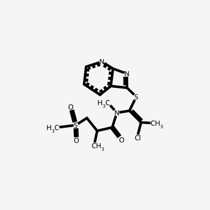 C/C(Cl)=C(\SC1=Nc2ncccc21)N(C)C(=O)C(C)CS(C)(=O)=O